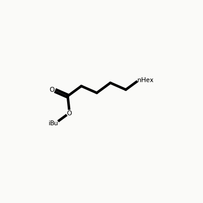 CCCCCCCCCCC(=O)OC(C)CC